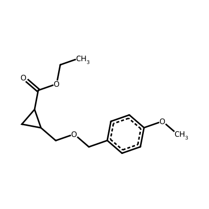 CCOC(=O)C1CC1COCc1ccc(OC)cc1